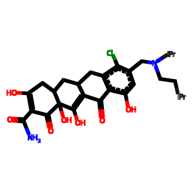 CC(C)CCN(Cc1cc(O)c2c(c1Cl)CC1CC3CC(O)=C(C(N)=O)C(=O)C3(O)C(O)=C1C2=O)C(C)C